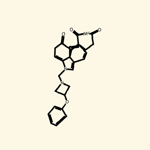 O=C1CCC(C2C(=O)CC=C3N(CN4CC(Oc5ccccc5)C4)C=C4C=CC=CC432)C(=O)N1